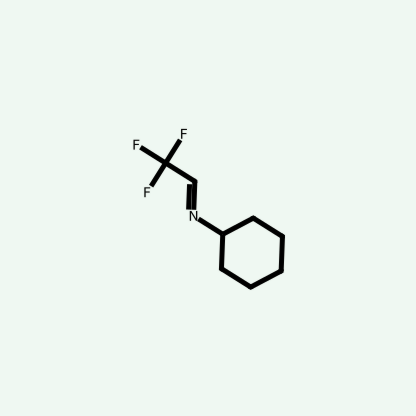 FC(F)(F)C=NC1CCCCC1